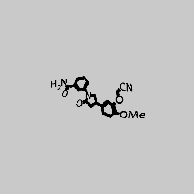 COc1ccc(C2CC(=O)N(c3cccc(C(N)=O)c3)C2)cc1OCC#N